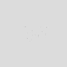 CC(F)(/C(F)=C(/F)C(F)(F)F)C(F)(F)F